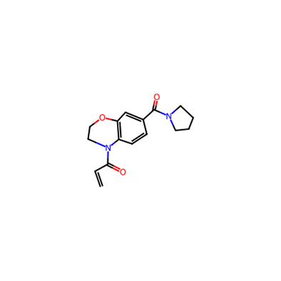 C=CC(=O)N1CCOc2cc(C(=O)N3CCCC3)ccc21